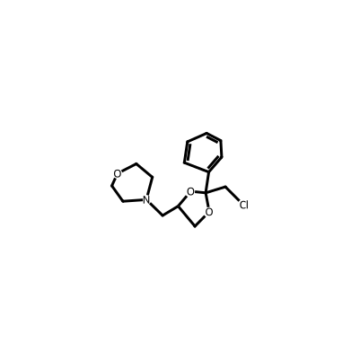 ClCC1(c2ccccc2)OCC(CN2CCOCC2)O1